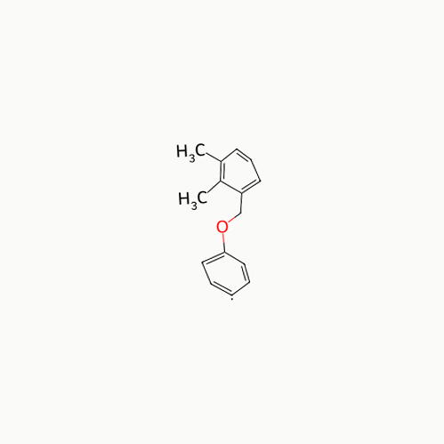 Cc1cccc(COc2cc[c]cc2)c1C